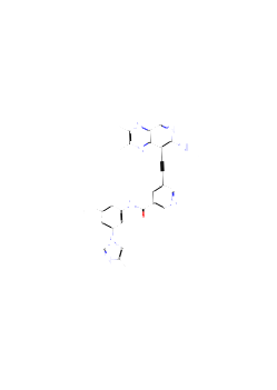 Cc1cn(-c2cc(NC(=O)c3cncc(C#Cc4c(N)ncc5nc(C)c(C)nc45)c3)cc(C(F)(F)F)c2)cn1